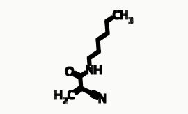 C=C(C#N)C(=O)NCCCCCC